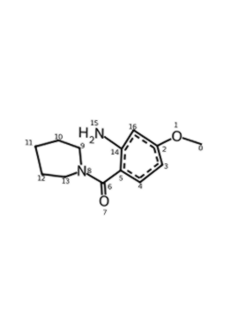 COc1ccc(C(=O)N2CCCCC2)c(N)c1